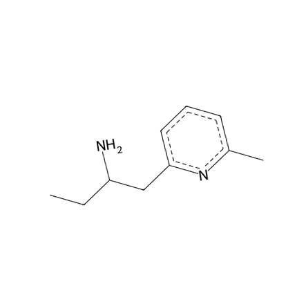 CCC(N)Cc1cccc(C)n1